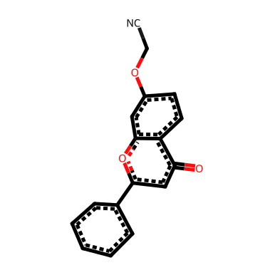 N#CCOc1ccc2c(=O)cc(-c3ccccc3)oc2c1